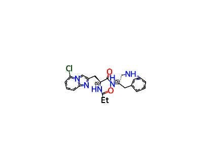 CCC(=O)N[C@@H](Cc1cn2c(Cl)cccc2n1)C(=O)N[C@H](CN)Cc1ccccc1